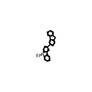 CCn1c2ccccc2c2cc(-c3ccc4c(c3)-c3ccccc3C4)ccc21